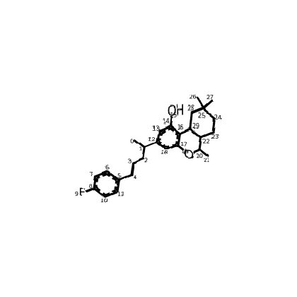 CC(CCCc1ccc(F)cc1)c1cc(O)c2c(c1)OC(C)C1CCC(C)(C)CC21